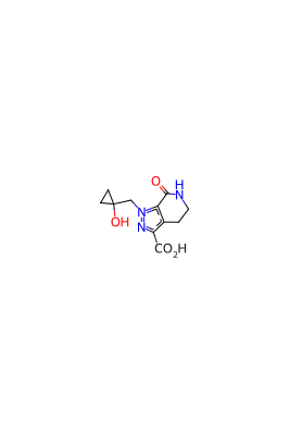 O=C(O)c1nn(CC2(O)CC2)c2c1CCNC2=O